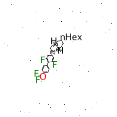 CCCCCCC1CC[C@@H]2C[C@H](c3cc(F)c(-c4ccc(OC(F)F)cc4)c(F)c3)CC[C@@H]2C1